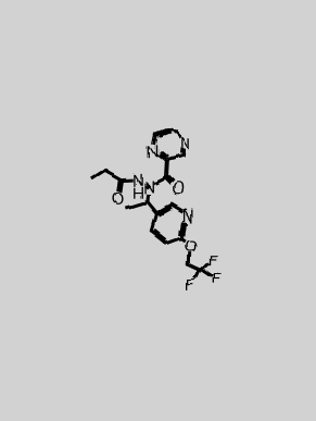 CCC(=O)NN(C(=O)c1cnccn1)C(C)c1ccc(OCC(F)(F)F)nc1